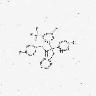 Fc1ccc(CNC(Cc2ccccc2)(c2cc(F)cc(C(F)(F)F)c2)c2ccc(Cl)cn2)cc1